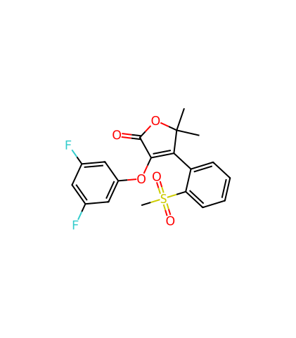 CC1(C)OC(=O)C(Oc2cc(F)cc(F)c2)=C1c1ccccc1S(C)(=O)=O